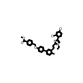 CCn1cc(-c2ccc(Cl)cc2Cl)nc1/C=C/c1cc(-c2ccc(OCc3ccc(C(=O)OC)cc3)cc2)ccc1F